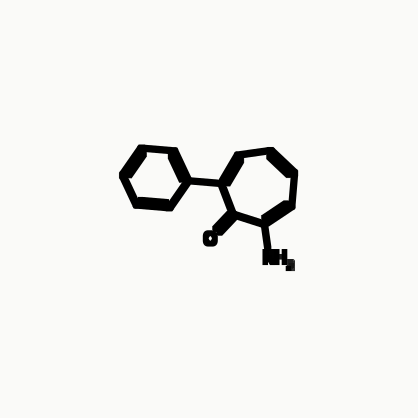 Nc1ccccc(-c2ccccc2)c1=O